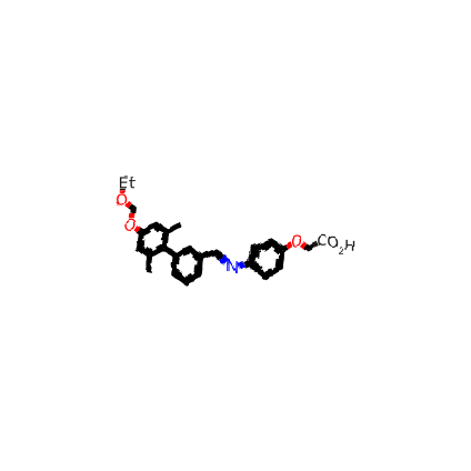 CCOCOc1cc(C)c(-c2cccc(C=Nc3ccc(OCC(=O)O)cc3)c2)c(C)c1